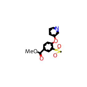 COC(=O)c1ccc(Oc2cccnc2)c(S(C)(=O)=O)c1